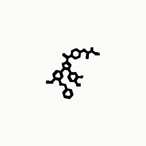 COc1ccc(-c2sc(C(=O)N3CCC(OC(=O)NC(C)(C)C)CC3)cc2-c2ccc(C#N)c(F)c2)cc1OCc1ccccc1